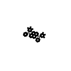 CC1=C(C)C(C)CC(N(c2ccccc2)c2ccc3ccc4c(N(c5ccccc5)c5cc(C)c(C)c(C)c5)ccc5ccc2c3c54)=C1